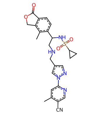 Cc1cc(-n2cc(CNCC(NS(=O)(=O)C3CC3)c3ccc4c(c3C)COC4=O)cn2)ncc1C#N